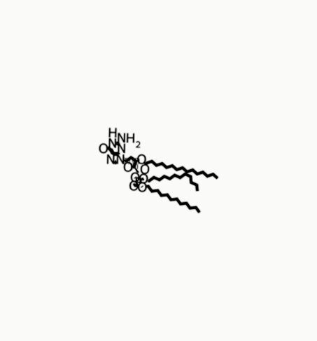 CCCCCCCCCCCCCCC(=O)O[C@H]1C[C@H](n2cnc3c(=O)[nH]c(N)nc32)O[C@@H]1COP(=O)(OCCCCCCCCCCCC)OCCCCCCCCCCCC